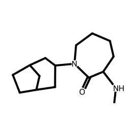 CNC1CCCCN(C2CC3CCC(C3)C2)C1=O